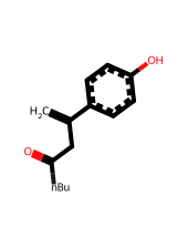 C=C(CC(=O)CCCC)c1ccc(O)cc1